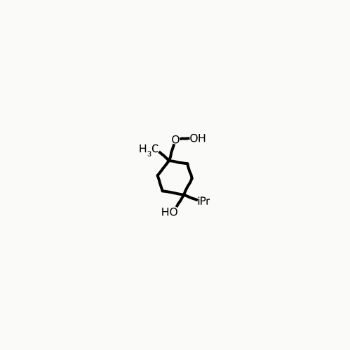 CC(C)C1(O)CCC(C)(OO)CC1